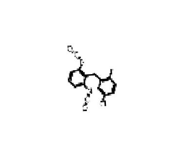 Cc1ccc(Cl)cc1Cc1c(N=C=O)cccc1N=C=O